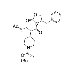 CC(=O)SCC(C(=O)N1C(=O)OCC1Cc1ccccc1)C1CCN(C(=O)OC(C)(C)C)CC1